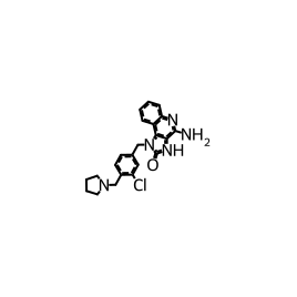 Nc1nc2ccccc2c2c1[nH]c(=O)n2Cc1ccc(CN2CCCC2)c(Cl)c1